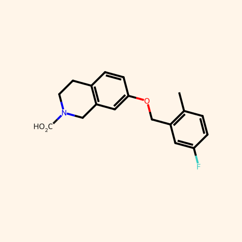 Cc1ccc(F)cc1COc1ccc2c(c1)CN(C(=O)O)CC2